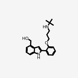 CC(C)(C)NCCCOc1ccccc1-c1cc2c(CO)cccc2[nH]1